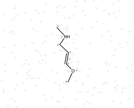 CNC/C=C/OC